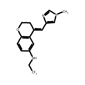 Cn1cnc(/C=C2\CCOc3ccc(NCC(F)(F)F)cc32)c1